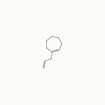 C=C[CH]C1=CCCCCC1